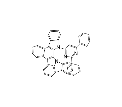 c1ccc(-c2cc(-n3c4ccccc4c4c5ccccc5c5c6cccc7c8ccccc8n(c76)c5c43)nc(-c3ccccc3)n2)cc1